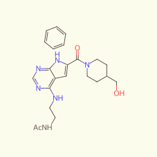 CC(=O)NCCNc1ncnc2[nH]c(C(=O)N3CCC(CO)CC3)cc12.c1ccccc1